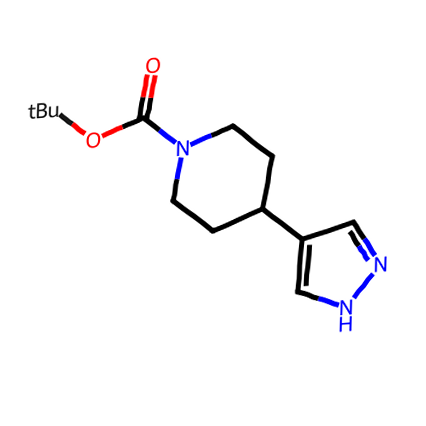 CC(C)(C)OC(=O)N1CCC(c2cn[nH]c2)CC1